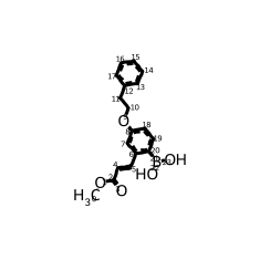 COC(=O)/C=C/c1cc(OCCc2ccccc2)ccc1B(O)O